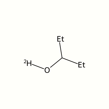 [2H]OC(CC)CC